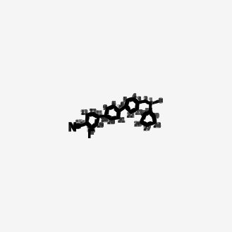 C[C@H](Cc1ccc(-c2ccc(-c3ccc(C#N)c(F)c3)cc2)cc1)c1ccccc1